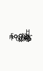 CC[C@@H](Nc1c(Nc2ccc(-c3ccc(C(F)(F)F)cc3)c(C(=O)N(C)C)c2O)c(=O)c1=O)c1ccc(C)o1